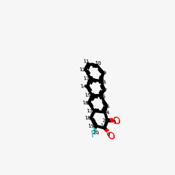 O=C1C(=O)c2cc3cc4ccccc4cc3cc2C=C1F